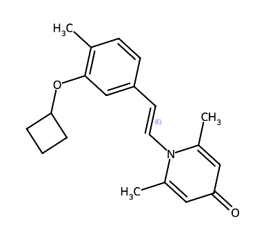 Cc1ccc(/C=C/n2c(C)cc(=O)cc2C)cc1OC1CCC1